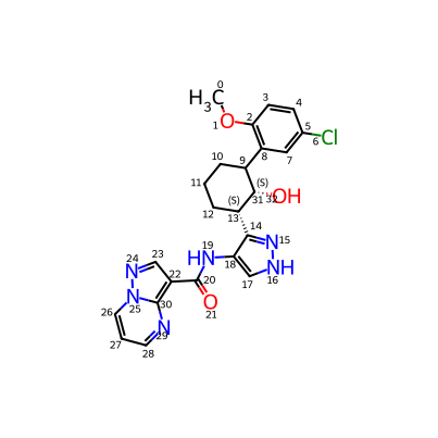 COc1ccc(Cl)cc1C1CCC[C@@H](c2n[nH]cc2NC(=O)c2cnn3cccnc23)[C@H]1O